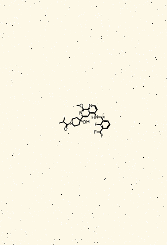 COc1nc(C2(O)CCN(C(=O)C(C)C)CC2)cc2c(N[C@H](C)c3cccc(C(F)F)c3F)ccnc12